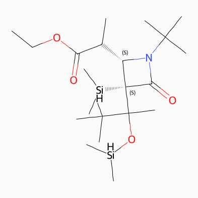 CCOC(=O)C(C)[C@@H]1N(C(C)(C)C)C(=O)[C@@]1([SiH](C)C)C(C)(O[SiH](C)C)C(C)(C)C